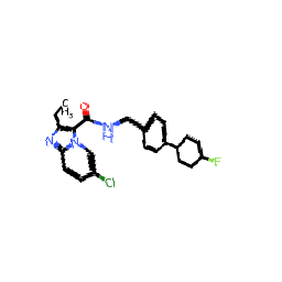 CCc1nc2ccc(Cl)cn2c1C(=O)NCc1ccc(C2CCC(F)CC2)cc1